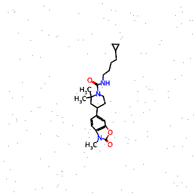 Cn1c(=O)oc2cc(C3CCN(C(=O)NCCCCC4CC4)C(C)(C)C3)ccc21